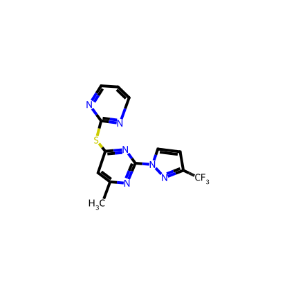 Cc1cc(Sc2ncccn2)nc(-n2ccc(C(F)(F)F)n2)n1